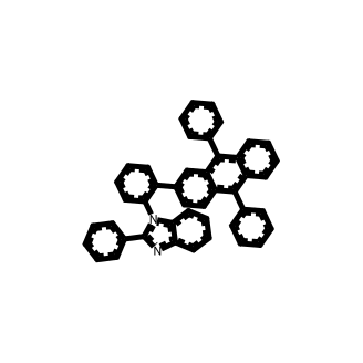 c1ccc(-c2c3ccccc3c(-c3ccccc3)c3cc(-c4ccccc4-n4c(-c5ccccc5)nc5ccccc54)ccc23)cc1